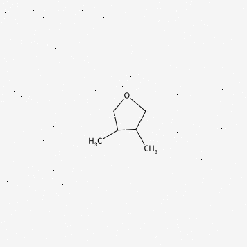 CC1[CH]OCC1C